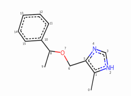 Cc1[nH]cnc1COC(C)c1ccccc1